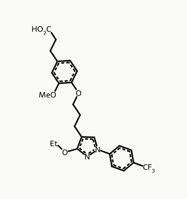 CCOc1nn(-c2ccc(C(F)(F)F)cc2)cc1CCCOc1ccc(CCC(=O)O)cc1OC